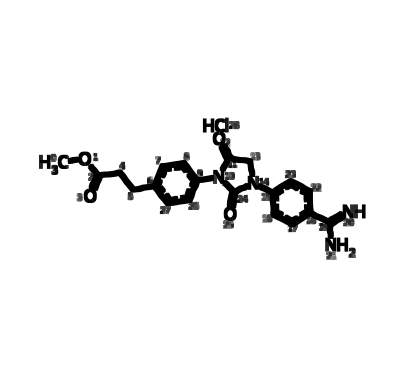 COC(=O)CCc1ccc(N2C(=O)CN(c3ccc(C(=N)N)cc3)C2=O)cc1.Cl